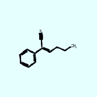 CCCC=C(C#N)c1ccccc1